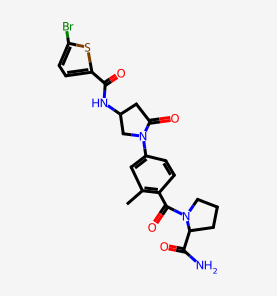 Cc1cc(N2CC(NC(=O)c3ccc(Br)s3)CC2=O)ccc1C(=O)N1CCCC1C(N)=O